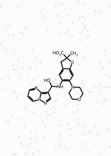 CC1(C(=O)O)Cc2cc(NC(O)c3cnn4cccnc34)c(N3CCOCC3)cc2O1